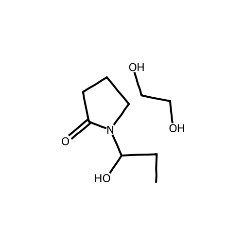 CCC(O)N1CCCC1=O.OCCO